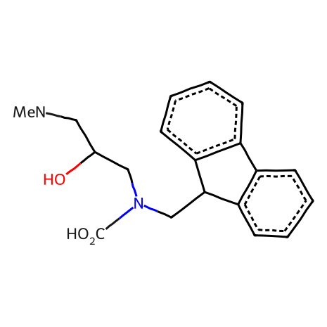 CNCC(O)CN(CC1c2ccccc2-c2ccccc21)C(=O)O